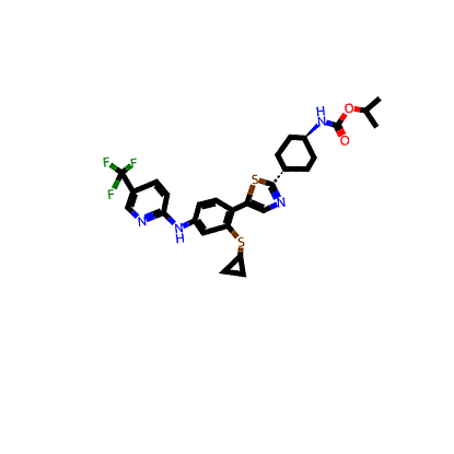 CC(C)OC(=O)N[C@H]1CC[C@H](c2ncc(-c3ccc(Nc4ccc(C(F)(F)F)cn4)cc3SC3CC3)s2)CC1